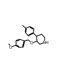 COc1ccc(COC2CNCCC2c2ccc(C)cc2)cc1